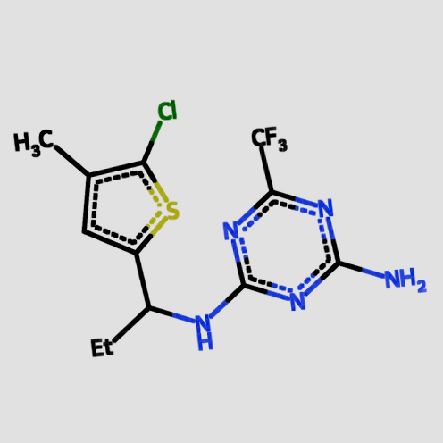 CCC(Nc1nc(N)nc(C(F)(F)F)n1)c1cc(C)c(Cl)s1